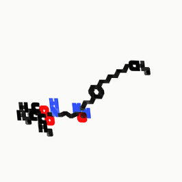 CCCCCCCCc1ccc(CCc2noc(CCCNC(=O)OC(C)(C)C)n2)cc1